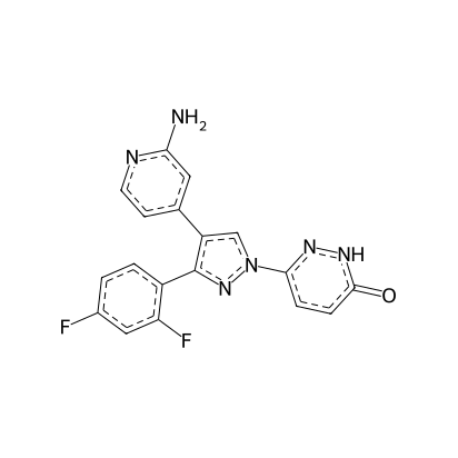 Nc1cc(-c2cn(-c3ccc(=O)[nH]n3)nc2-c2ccc(F)cc2F)ccn1